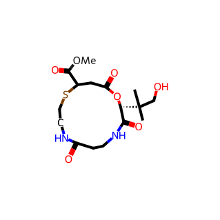 COC(=O)C1CC(=O)O[C@H](C(C)(C)CO)C(=O)NCCC(=O)NCCS1